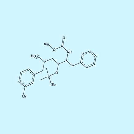 CC(C)(C)OC(=O)NC(Cc1ccccc1)C(CC(Cc1cccc(C#N)c1)C(=O)O)O[Si](C)(C)C(C)(C)C